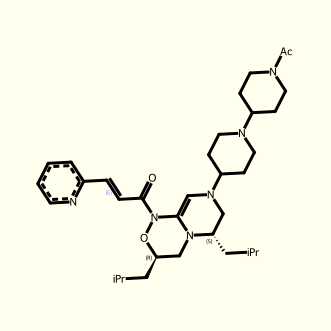 CC(=O)N1CCC(N2CCC(N3C=C4N(C(=O)/C=C/c5ccccn5)O[C@H](CC(C)C)CN4[C@@H](CC(C)C)C3)CC2)CC1